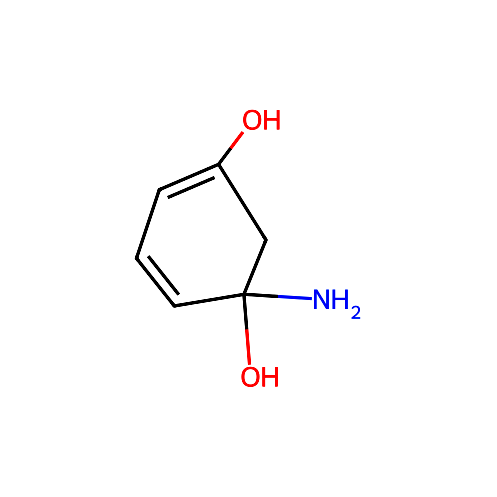 NC1(O)C=CC=C(O)C1